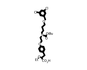 CCOC(Cc1ccc(OCCN(CCCCOCc2cc(Cl)cc(Cl)c2)C(=O)OCC(C)C)cc1)C(=O)O